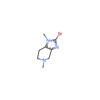 CN1CCc2c(nc(Br)n2C)C1